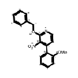 COc1ccccc1-c1ccnc(OCc2ccccc2)c1[N+](=O)[O-]